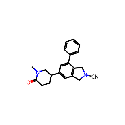 CN1CC(c2cc3c(c(-c4ccccc4)c2)CN(C#N)C3)CCC1=O